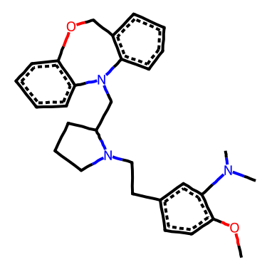 COc1ccc(CCN2CCCC2CN2c3ccccc3COc3ccccc32)cc1N(C)C